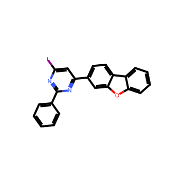 Ic1cc(-c2ccc3c(c2)oc2ccccc23)nc(-c2ccccc2)n1